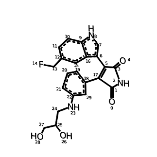 O=C1NC(=O)C(c2c[nH]c3ccc(CF)cc23)=C1c1cccc(NCC(O)CO)c1